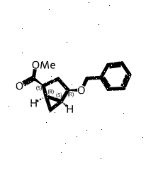 COC(=O)[C@H]1C[C@@H](OCc2ccccc2)[C@H]2C[C@H]21